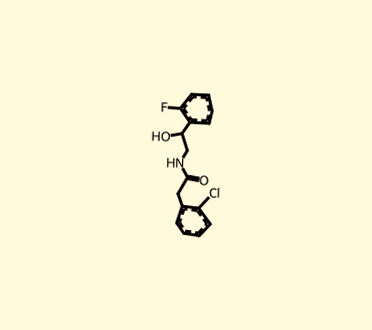 O=C(Cc1ccccc1Cl)NCC(O)c1ccccc1F